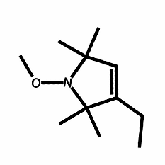 CCC1=CC(C)(C)N(OC)C1(C)C